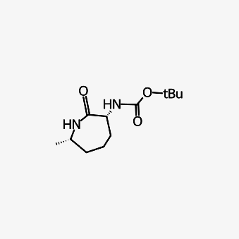 C[C@H]1CCC[C@@H](NC(=O)OC(C)(C)C)C(=O)N1